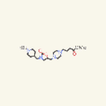 COC(=O)CCCN1CCN(CC2CN(CC3CCN(C(C)(C)C)CC3)C(=O)O2)CC1